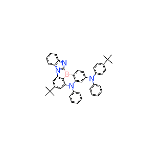 CC(C)(C)c1ccc(N(c2ccccc2)c2ccc3c(c2)N(c2ccccc2)c2cc(C(C)(C)C)cc4c2B3c2nc3ccccc3n2-4)cc1